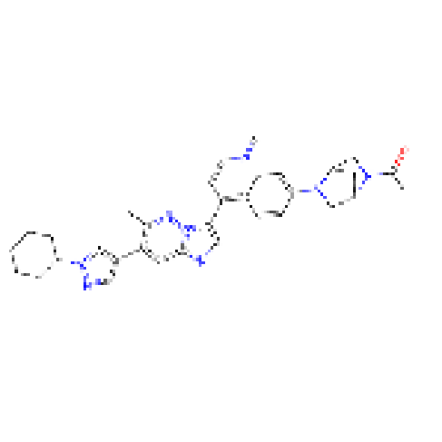 C=N/C=C\C(=C1\C=CC(N2CC3CC2CN3C(C)=O)=CC1)c1cnc2cc(-c3cnn(C4CCCCC4)c3)c(C)nn12